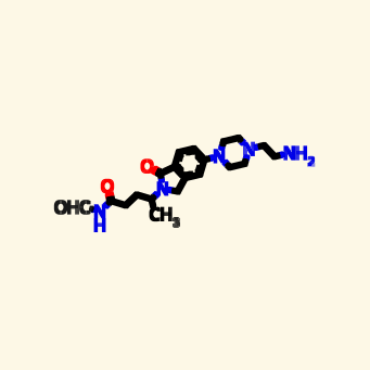 CC(CCC(=O)NC=O)N1Cc2cc(N3CCN(CCN)CC3)ccc2C1=O